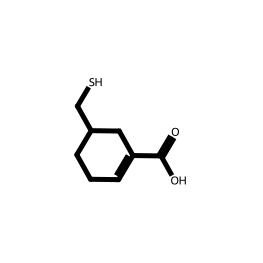 O=C(O)C1=CCCC(CS)C1